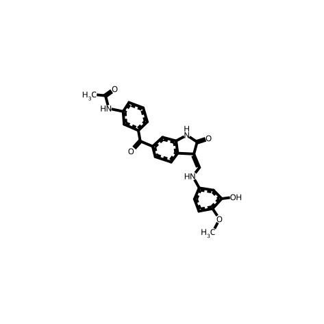 COc1ccc(N/C=C2/C(=O)Nc3cc(C(=O)c4cccc(NC(C)=O)c4)ccc32)cc1O